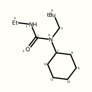 CCNC(=O)N(CC(C)(C)C)C1CCCCC1